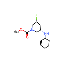 CC(C)(C)OC(=O)N1C[C@@H](F)C[C@H](NC2C=CCCC2)C1